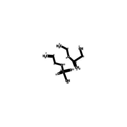 C=C(CO)OCC.C=CCOS(=O)(=O)O